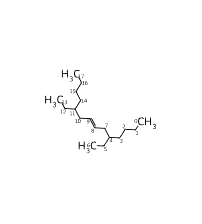 CCCCC(CC)CC=CCC(CC)CCCC